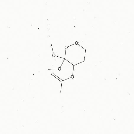 COC1(OC)OOCCC1OC(C)=O